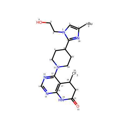 CCCCc1cn(CCO)c(C2CCN(c3ncnc4c3C(C(F)(F)F)CC(=O)N4)CC2)n1